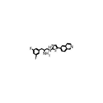 NC(CNc1ncc(-c2ccc3cnccc3c2)s1)Cc1cc(F)cc(F)c1